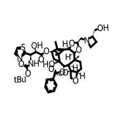 CC(=O)O[C@@]12CO[C@@H]1CC[C@@]1(C)[C@@H]3O[C@H](CN4CC[C@H]4CO)O[C@@H]3C3=C(C)[C@@H](OC(=O)[C@H](O)[C@@H](NC(=O)OC(C)(C)C)c4nccs4)C[C@@](O)([C@@H](OC(=O)c4ccccc4)[C@@H]12)C3(C)C